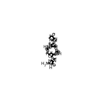 Nc1nc2c(ncn2[C@@H]2O[C@@H]3COP(=O)(S)O[C@H]4[C@H](F)[C@H](n5cnc6c5N=CCC6=O)O[C@@H]4COP(=O)(S)O[C@@H]2C3)c(=O)[nH]1